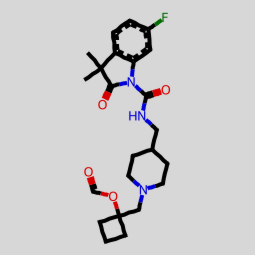 CC1(C)C(=O)N(C(=O)NCC2CCN(CC3(OC=O)CCC3)CC2)c2cc(F)ccc21